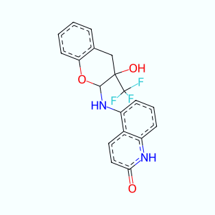 O=c1ccc2c(NC3Oc4ccccc4CC3(O)C(F)(F)F)cccc2[nH]1